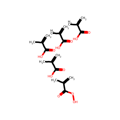 C=C(C)C(=O)O.C=C(C)C(=O)O.C=C(C)C(=O)O.C=C(C)C(=O)O.C=C(C)C(=O)OO